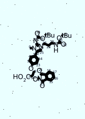 Cn1c(-c2ccc(OCC(ON3C(=O)c4ccccc4C3=O)C(=O)O)cc2)cn(CCCNC(=O)OC(C)(C)C)c1=NC(=O)OC(C)(C)C